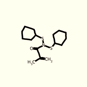 C=C(C)C(=O)N(SC1CCCCC1)SC1CCCCC1